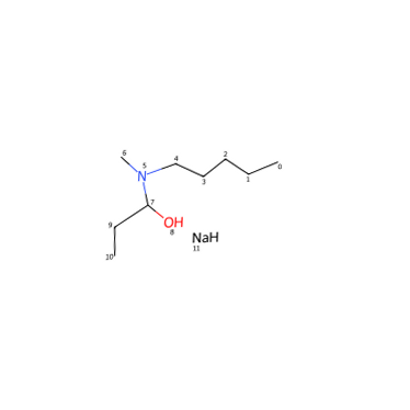 CCCCCN(C)C(O)CC.[NaH]